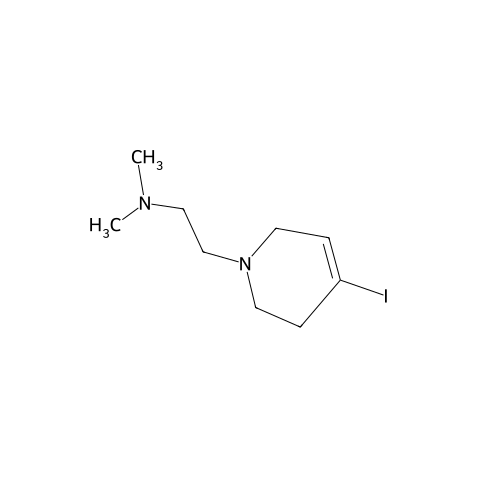 CN(C)CCN1CC=C(I)CC1